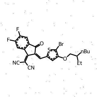 CCCCC(CC)COc1cc(C=C2C(=O)c3cc(F)c(F)cc3C2=C(C#N)C#N)sc1Br